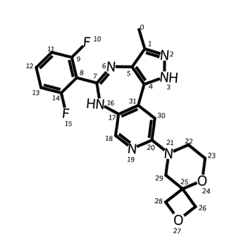 Cc1n[nH]c2c1N=C(c1c(F)cccc1F)Nc1cnc(N3CCOC4(COC4)C3)cc1-2